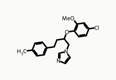 COc1cc(Cl)ccc1OC(CCc1ccc(C)cc1)Cn1ccnc1